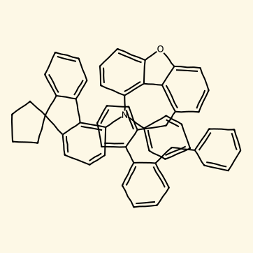 c1ccc(Cc2ccccc2-c2ccccc2Cc2cccc3oc4cccc(N(c5ccccc5)c5cccc6c5-c5ccccc5C65CCCC5)c4c23)cc1